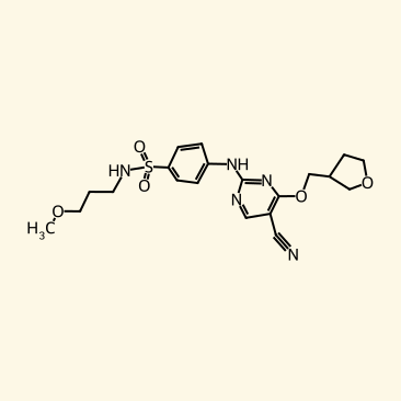 COCCCNS(=O)(=O)c1ccc(Nc2ncc(C#N)c(OCC3CCOC3)n2)cc1